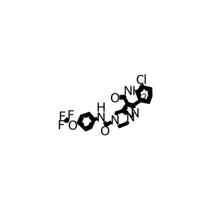 NC(=O)c1c(-c2cccc(Cl)c2)nn2c1CN(C(=O)Nc1ccc(OC(F)(F)F)cc1)CC2